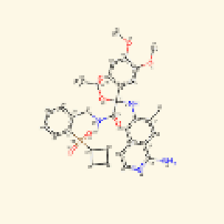 CCOc1cc(C(Nc2cc3ccnc(N)c3cc2C)(OC(=O)C(F)(F)F)C(=O)N(C)Cc2ccccc2S(=O)(=O)C2CCC2)ccc1OC(C)C